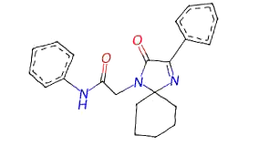 O=C(CN1C(=O)C(c2ccccc2)=NC12CCCCC2)Nc1ccccc1